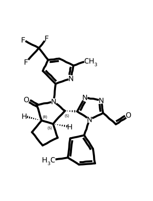 Cc1cccc(-n2c(C=O)nnc2[C@@H]2[C@H]3CCC[C@H]3C(=O)N2c2cc(C(F)(F)F)cc(C)n2)c1